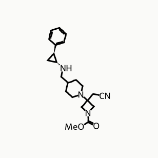 COC(=O)N1CC(CC#N)(N2CCC(CN[C@@H]3C[C@H]3c3ccccc3)CC2)C1